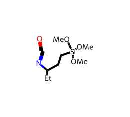 CCC(CC[Si](OC)(OC)OC)N=C=O